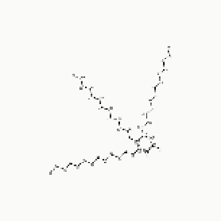 CCCCCCCCCCCCCc1nc(C)nc(CCCCCCCCCCCCC)c1CCCCCCCCCCCCC